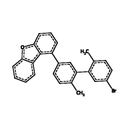 Cc1ccc(Br)cc1-c1cc(-c2cccc3oc4ccccc4c23)ccc1C